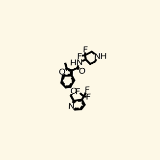 Cc1oc2ccc(OCc3ncccc3C(F)(F)F)cc2c1C(=O)NC1CCNCC1(F)F